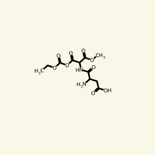 CCOC(=O)OC(=O)C(NC(=O)C(N)CC(=O)O)C(=O)OC